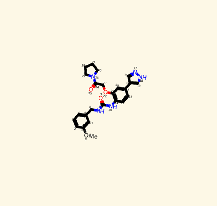 COc1cccc(CNC(=O)Nc2ccc(-c3cn[nH]c3)cc2OCC(=O)N2CCCC2)c1